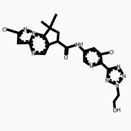 CC1(C)CC(C(=O)Nc2cnc(-c3nnn(CCO)n3)c(Cl)c2)c2cnc3cc(Cl)nn3c21